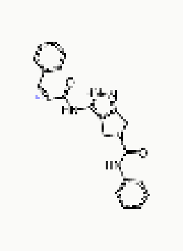 O=C(/C=C\c1ccccc1)Nc1[nH]nc2c1CN(C(=O)Nc1ccccc1)C2